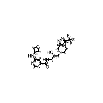 O=C(NC[C@H](O)CN1CCn2c(nnc2C(F)(F)F)C1)c1cc(NC2COC2)ncn1